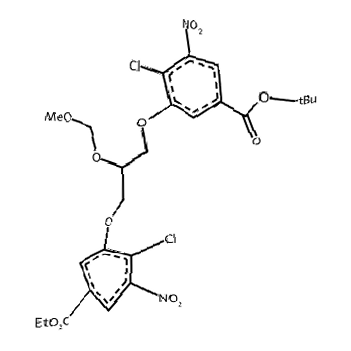 CCOC(=O)c1cc(OCC(COc2cc(C(=O)OC(C)(C)C)cc([N+](=O)[O-])c2Cl)OCOC)c(Cl)c([N+](=O)[O-])c1